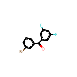 O=C(c1cc(F)cc(F)c1)c1cccc(Br)c1